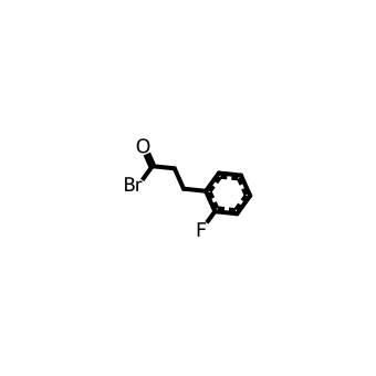 O=C(Br)CCc1ccccc1F